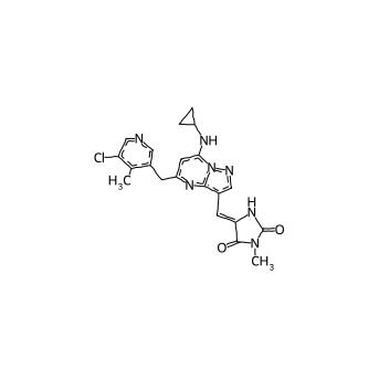 Cc1c(Cl)cncc1Cc1cc(NC2CC2)n2ncc(/C=C3\NC(=O)N(C)C3=O)c2n1